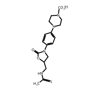 CCOC(=O)N1CCN(c2ccc(N3CC(CNC(C)=S)OC3=O)cc2)CC1